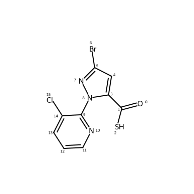 O=C(S)c1cc(Br)nn1-c1ncccc1Cl